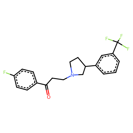 O=C(CCN1CCC(c2cccc(C(F)(F)F)c2)C1)c1ccc(F)cc1